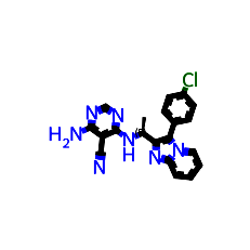 C[C@H](Nc1ncnc(N)c1C#N)c1nc2ccccn2c1-c1ccc(Cl)cc1